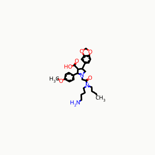 CCCCN(CCCCN)C(=O)CN1CC(c2ccc3c(c2)OCO3)C(C(=O)O)C1c1ccc(OC)cc1